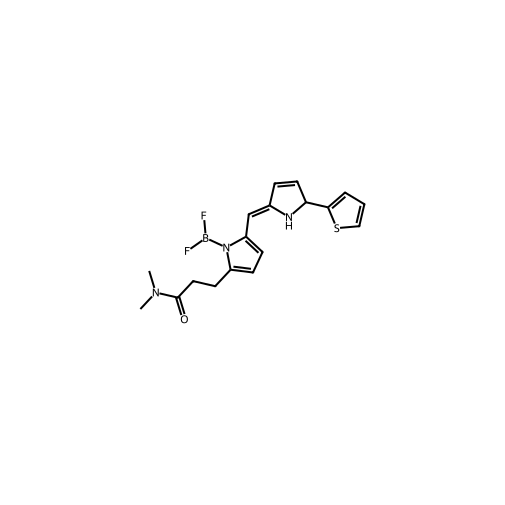 CN(C)C(=O)CCc1ccc(/C=C2/C=CC(c3cccs3)N2)n1B(F)F